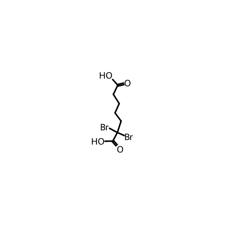 O=C(O)CCCCC(Br)(Br)C(=O)O